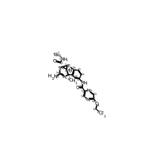 CC(C)(C)NC(=O)[C@]12C[C@H]1[C@@](C)(c1cc(NC(=O)c3cnc(OCC(F)(F)F)cn3)ccc1F)N=C(N)S2